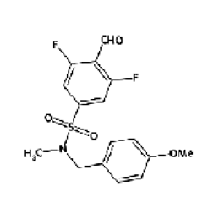 COc1ccc(CN(C)S(=O)(=O)c2cc(F)c(C=O)c(F)c2)cc1